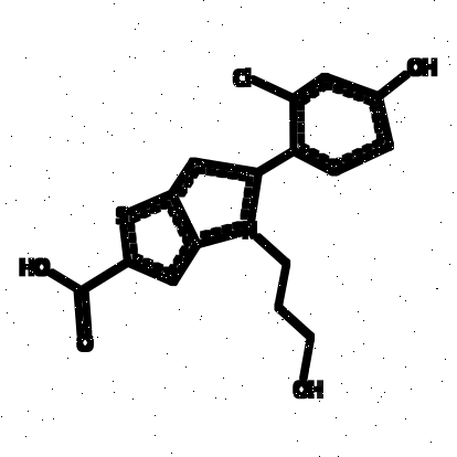 O=C(O)c1cc2c(cc(-c3ccc(O)cc3Cl)n2CCCO)s1